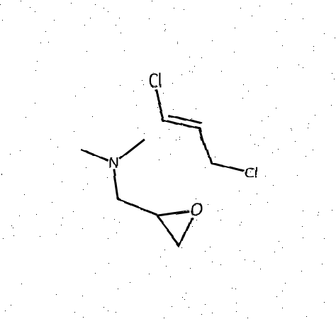 CN(C)CC1CO1.ClC=CCCl